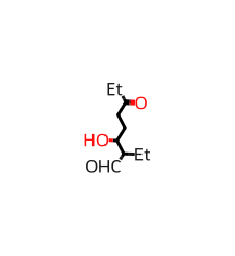 CCC(=O)CCC(O)C(C=O)CC